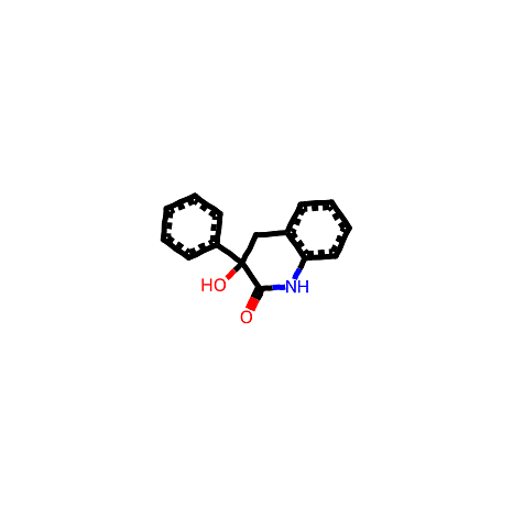 O=C1Nc2ccccc2CC1(O)c1ccccc1